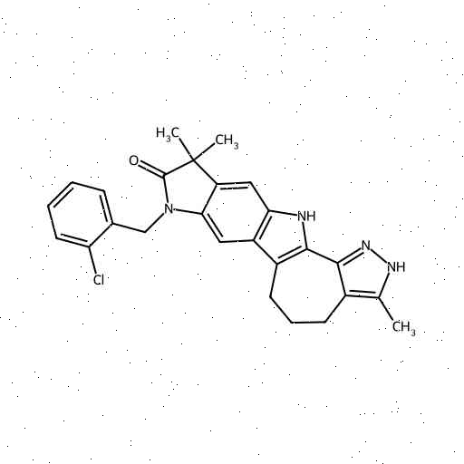 Cc1[nH]nc2c1CCCc1c-2[nH]c2cc3c(cc12)N(Cc1ccccc1Cl)C(=O)C3(C)C